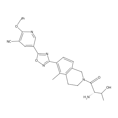 Cc1c(-c2noc(-c3cnc(OC(C)C)c(C#N)c3)n2)ccc2c1CCN(C(=O)[C@@H](N)C(C)O)C2